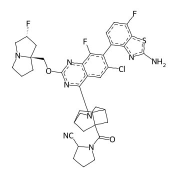 N#CC1CCCN1C(=O)C12CC3CC1C(CN(c1nc(OC[C@@]45CCCN4C[C@H](F)C5)nc4c(F)c(-c5ccc(F)c6sc(N)nc56)c(Cl)cc14)C3)C2